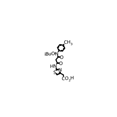 Cc1ccc(N(OCC(C)C)C(=O)CC(=O)Nc2nc(CC(=O)O)cs2)cc1